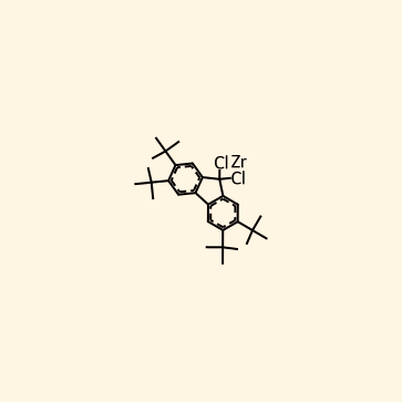 CC(C)(C)c1cc2c(cc1C(C)(C)C)C(Cl)(Cl)c1cc(C(C)(C)C)c(C(C)(C)C)cc1-2.[Zr]